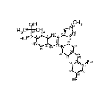 Cn1cc(-c2nc3cc([C@@H](O)C(C)(C)O)ncc3nc2N2CCC(Oc3ccc(F)cc3F)CC2)cn1